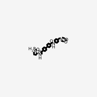 BC(=O)N1CCC[C@H]1c1nc(-c2ccc(-c3ccc(C(=O)Nc4ccc(CN5CCS(=O)(=O)CC5)cc4)cc3)cc2)c[nH]1